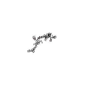 CC(C)(C)OC(=O)COCCOCCNC(=O)C1(C)CCC(c2ccc(Cl)cc2)=C(CN2CCN(c3ccc(C(=O)NS(=O)(=O)c4ccc(NC(CCN5CCOCC5)CSc5ccccc5)c(S(=O)(=O)C(F)(F)F)c4)cc3)CC2)C1